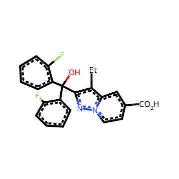 CCc1c(C(O)(c2ccccc2F)c2ccccc2F)nn2ccc(C(=O)O)cc12